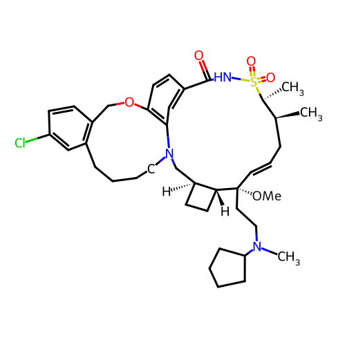 CO[C@@]1(CCN(C)C2CCCC2)/C=C/C[C@H](C)[C@@H](C)S(=O)(=O)NC(=O)c2ccc3c(c2)N(CCCCc2cc(Cl)ccc2CO3)C[C@@H]2CC[C@H]21